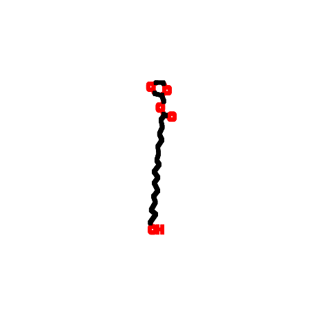 O=C(CCCCCCCCCCCCCCCCCO)OCC1COCCO1